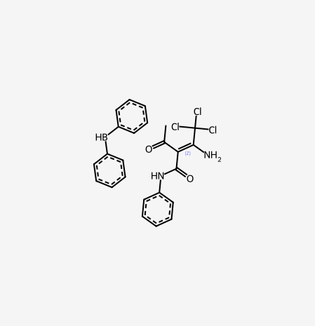 B(c1ccccc1)c1ccccc1.CC(=O)/C(C(=O)Nc1ccccc1)=C(/N)C(Cl)(Cl)Cl